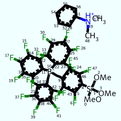 CO[Si](OC)(OC)c1c(F)c(F)c([B-](c2c(F)c(F)c(F)c(F)c2F)(c2c(F)c(F)c(F)c(F)c2F)c2c(F)c(F)c(F)c(F)c2F)c(F)c1F.C[NH+](C)c1ccccc1